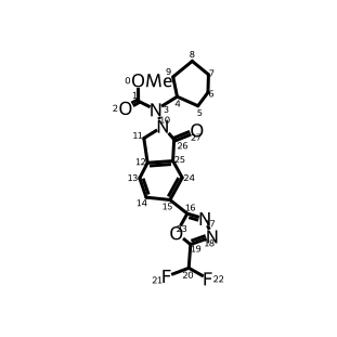 COC(=O)N(C1CCCCC1)N1Cc2ccc(-c3nnc(C(F)F)o3)cc2C1=O